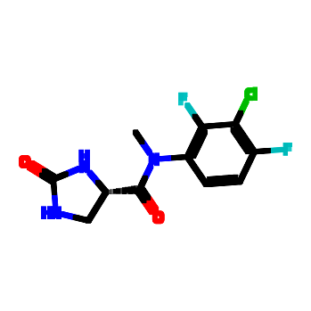 CN(C(=O)[C@@H]1CNC(=O)N1)c1ccc(F)c(Cl)c1F